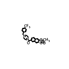 CS(=O)(=O)Oc1ccc2cc(C(=O)N3CCN(Cc4ccc(C(F)(F)F)cc4)CC3)ccc2c1